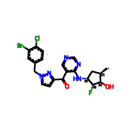 [CH2][C@@H]1C[C@@H](Nc2ncncc2C(=O)c2ccn(Cc3ccc(Cl)c(Br)c3)n2)[C@@H](F)[C@@H]1O